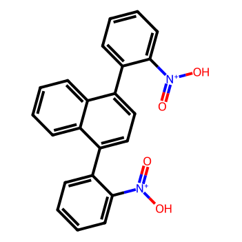 O=[N+](O)c1ccccc1-c1ccc(-c2ccccc2[N+](=O)O)c2ccccc12